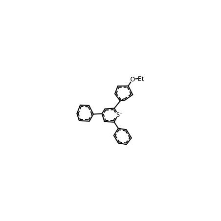 CCOc1ccc(-c2cc(-c3ccccc3)cc(-c3ccccc3)[s+]2)cc1